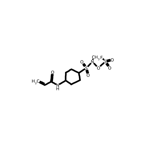 C=CC(=O)NC1CCC(S(=O)(=O)N(C)OS(=O)(=O)F)CC1